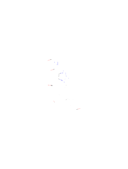 CC(=O)NC(=O)c1cn([C@H]2O[C@@H](COC(C)=O)[C@H](OC(C)=O)[C@@H]2OC(C)=O)nn1